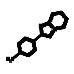 Bc1ccc(-c2cn3ccccc3n2)cc1